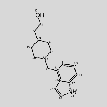 OCCC1CCN(Cc2c[c]cc3[nH]ccc23)CC1